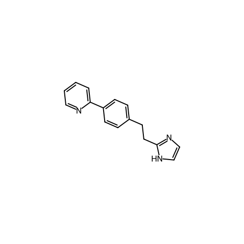 c1ccc(-c2ccc(CCc3ncc[nH]3)cc2)nc1